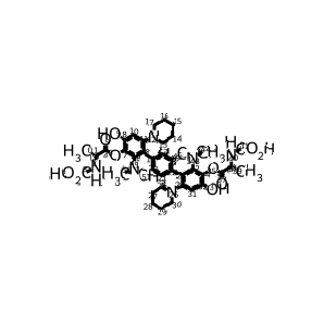 C[C@H](NC(=O)O)C(=O)Oc1c(O)cc(N2CCCCC2)c(-c2ccc(-c3c(N4CCCCC4)cc(O)c(OC(=O)[C@H](C)NC(=O)O)c3N(C)C)cc2)c1N(C)C